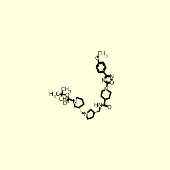 COc1ccc(-c2noc(N3CCC(C(=O)NC[C@H]4CCN(C[C@H]5CCCN(C(=O)OC(C)(C)C)C5)C4)CC3)n2)cc1